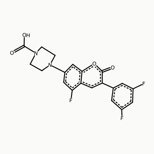 O=C(O)N1CCN(c2cc(F)c3cc(-c4cc(F)cc(F)c4)c(=O)oc3c2)CC1